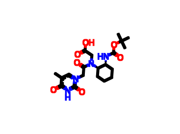 Cc1cn(CC(=O)N(CC(=O)O)[C@@H]2CCCC[C@H]2NC(=O)OC(C)(C)C)c(=O)[nH]c1=O